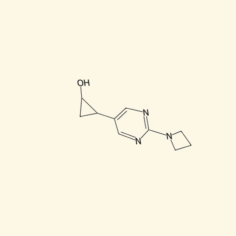 OC1CC1c1cnc(N2CCC2)nc1